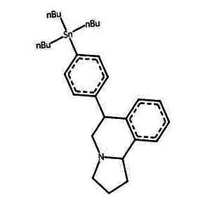 CCC[CH2][Sn]([CH2]CCC)([CH2]CCC)[c]1ccc(C2CN3CCCC3c3ccccc32)cc1